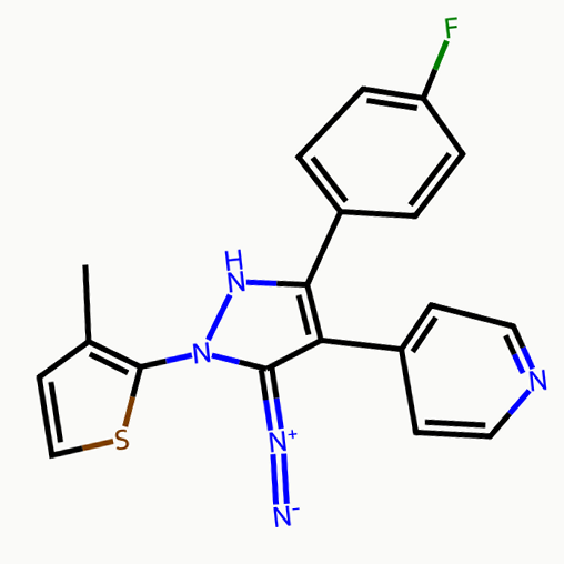 Cc1ccsc1-n1[nH]c(-c2ccc(F)cc2)c(-c2ccncc2)c1=[N+]=[N-]